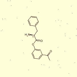 [CH2]C(=O)c1cccc(OC(=O)[C@@H](N)Cc2ccccc2)c1